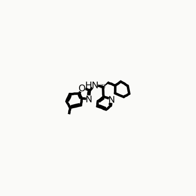 Cc1ccc2oc(N[C@@H](CC3CCCCC3)c3ccccn3)nc2c1